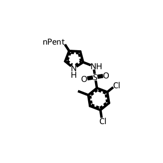 CCCCCc1c[nH]c(NS(=O)(=O)c2c(C)cc(Cl)cc2Cl)c1